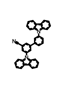 N#Cc1cc(-c2cccc(-n3c4ccccc4c4ccccc43)c2)cc(-n2c3ccccc3c3ccccc32)c1